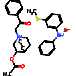 CC(=O)OC1C[N+]2(CC(=O)c3ccccc3)CCC1CC2.CSc1cccc(Nc2ccccc2)c1.[Br-]